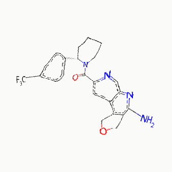 Nc1nc2cnc(C(=O)N3CCCC[C@H]3c3ccc(C(F)(F)F)cc3)cc2c2c1COC2